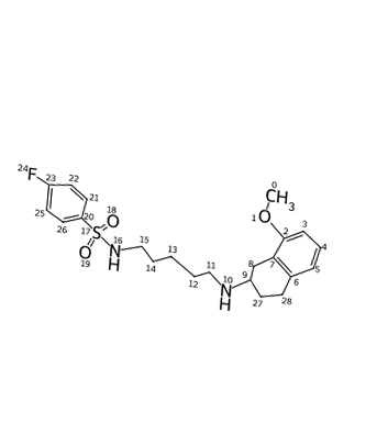 COc1cccc2c1CC(NCCCCCNS(=O)(=O)c1ccc(F)cc1)CC2